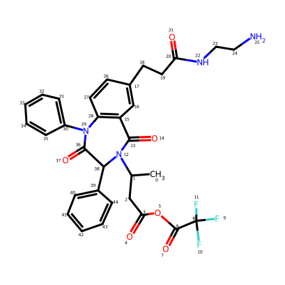 CC(CC(=O)OC(=O)C(F)(F)F)N1C(=O)c2cc(CCC(=O)NCCN)ccc2N(c2ccccc2)C(=O)C1c1ccccc1